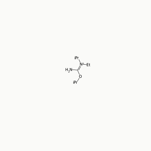 CC[N+](=C(N)OC(C)C)C(C)C